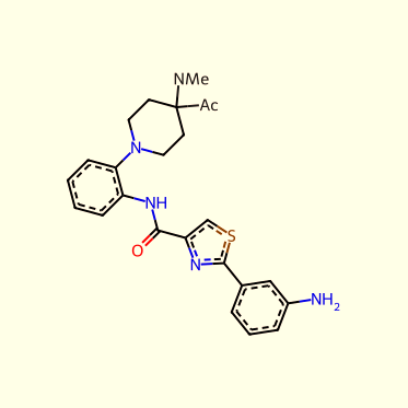 CNC1(C(C)=O)CCN(c2ccccc2NC(=O)c2csc(-c3cccc(N)c3)n2)CC1